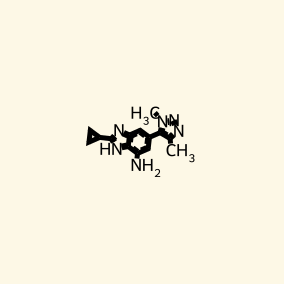 Cc1nnn(C)c1-c1cc(N)c2[nH]c(C3CC3)nc2c1